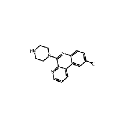 Clc1ccc2nc(N3CCNCC3)c3ncccc3c2c1